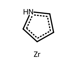 [Zr].c1cc[nH]c1